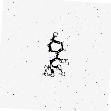 CCOP(=O)(/C=C(/c1ccc(Cl)cc1)C(F)(F)F)OCC